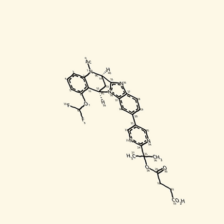 CC(=O)N1c2cccc(OC(F)F)c2[C@H]2C[C@@H]1c1nc3ccc(-c4cnc(C(C)(C)OC(=O)CCC(=O)O)nc4)cc3n12